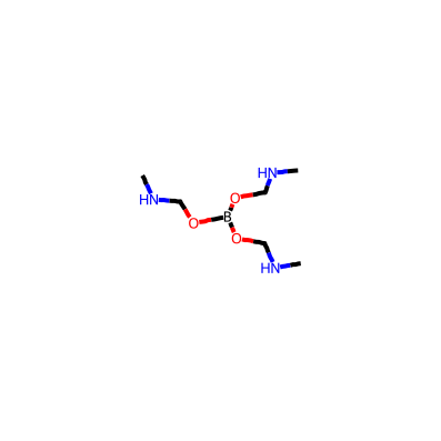 CNCOB(OCNC)OCNC